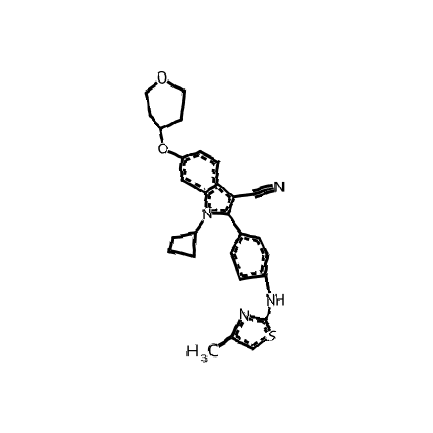 Cc1csc(Nc2ccc(-c3c(C#N)c4ccc(OC5CCOCC5)cc4n3C3CCC3)cc2)n1